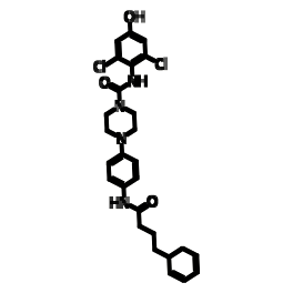 O=C(CCCC1C=CC=CC1)Nc1ccc(N2CCN(C(=O)Nc3c(Cl)cc(O)cc3Cl)CC2)cc1